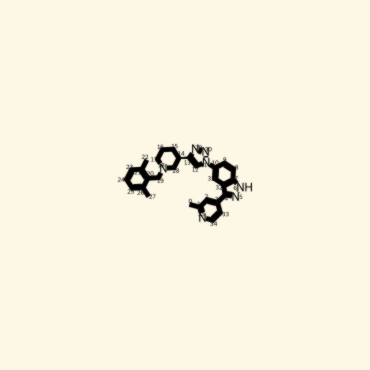 Cc1cc(-c2n[nH]c3ccc(-n4cc([C@@H]5CCCN(Cc6c(C)cccc6C)C5)nn4)cc23)ccn1